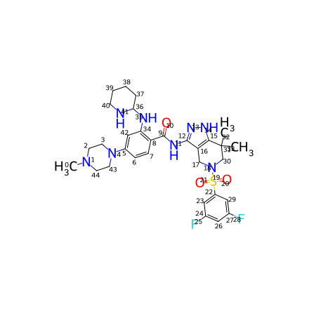 CN1CCN(c2ccc(C(=O)Nc3n[nH]c4c3CN(S(=O)(=O)c3cc(F)cc(F)c3)CC4(C)C)c(NC3CCCCN3)c2)CC1